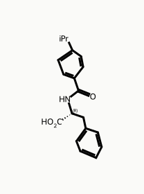 CC(C)c1ccc(C(=O)N[C@H](Cc2ccccc2)C(=O)O)cc1